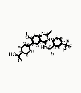 COc1cc2nc(C)nc(N[C@H](C)c3cccc(C(F)(F)F)c3)c2cc1C1=CCC(C(=O)O)CC1